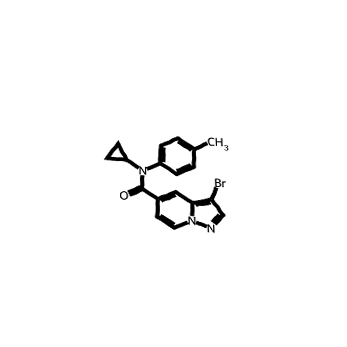 Cc1ccc(N(C(=O)c2ccn3ncc(Br)c3c2)C2CC2)cc1